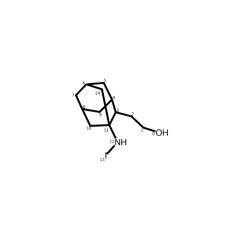 OCCC1C2CC3CC(C2)CC1(NI)C3